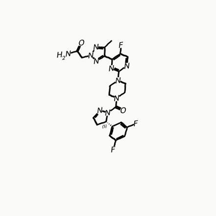 Cc1nn(CC(N)=O)nc1-c1nc(N2CCN(C(=O)N3N=CC[C@H]3c3cc(F)cc(F)c3)CC2)ncc1F